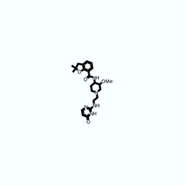 COC1CN(CCNc2nccc(=O)[nH]2)CCC1NC(=O)c1cccc2c1OC(C)(C)C2